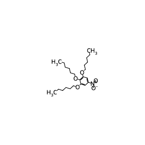 CCCCCCOc1cc([N+](=O)[O-])cc(OCCCCCC)c1OCCCCCC